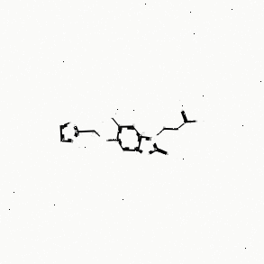 C[C@H](Oc1cc2oc(=O)n(CCC(=O)O)c2cc1Cl)c1ncco1